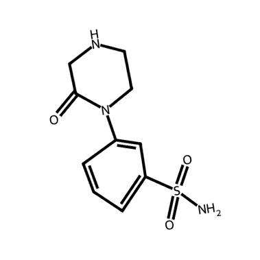 NS(=O)(=O)c1cccc(N2CCNCC2=O)c1